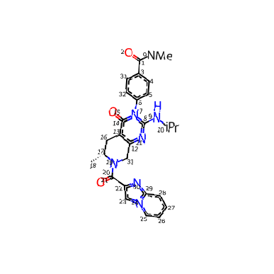 CNC(=O)c1ccc(-n2c(NC(C)C)nc3c(c2=O)C[C@@H](C)N(C(=O)c2cn4ccccc4n2)C3)cc1